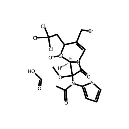 COC1(N(C(C)=O)c2cccs2)C(=O)N2C=C(CBr)C(CC(Cl)(Cl)Cl)[S+]([O-])[C@@H]21.O=CO